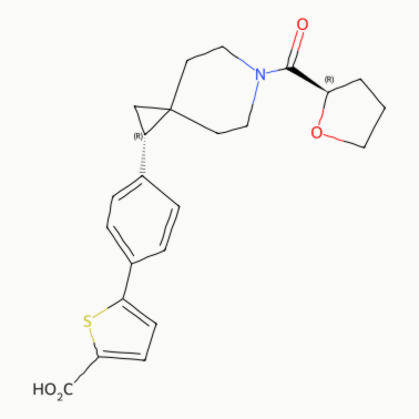 O=C(O)c1ccc(-c2ccc([C@@H]3CC34CCN(C(=O)[C@H]3CCCO3)CC4)cc2)s1